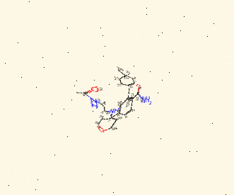 CC(=O)NCCNC1(c2ccc(C(N)=O)c(C3=CCC(C)(C)CC3)c2)CCOCC1